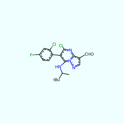 CC(Nc1c(-c2ccc(F)cc2Cl)c(Cl)nc2c(C=O)cnn12)C(C)(C)C